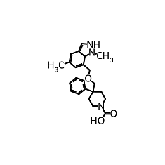 CC1=CC2=CNN(C)C2C(COCC2(c3ccccc3)CCN(C(=O)O)CC2)=C1